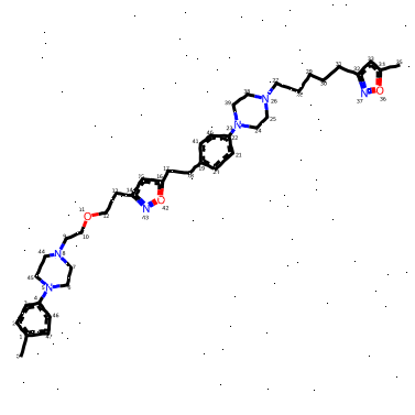 Cc1ccc(N2CCN(CCOCCc3cc(CCc4ccc(N5CCN(CCCCCc6cc(C)on6)CC5)cc4)on3)CC2)cc1